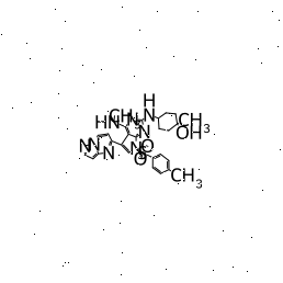 CNc1nc(NC2CCC(C)(O)CC2)nc2c1c(-c1ccn3nccc3n1)cn2S(=O)(=O)c1ccc(C)cc1